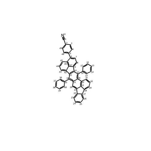 N#Cc1ccc(-c2ccc3c4c(-c5ccccc5)c5c(cc6c7ccccc7c7cccc5c76)c(-c5ccccc5)c4c4cccc2c43)cc1